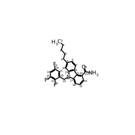 CCCCCc1c[c]c2c3c(C(N)=O)cccc3n(Cc3cc(F)cc(F)c3F)c2c1